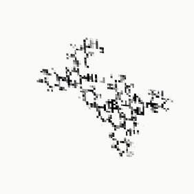 C=C(/C=C\C=C/Cc1ccccc1-c1ccc(-c2nc(-c3bcccc3)nc(-c3ccccc3)c2C(C)(C)C)cc1)c1ccc(-c2nc(-c3ccccc3)nc(C3=CCC(C)C=C3)c2C(C)(C)C)cc1